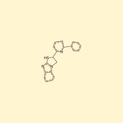 c1ccc(-c2cccc(C3Cn4c(nc5ccccc54)[SH]3)n2)cc1